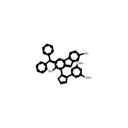 COc1cc(OC)cc(C2=C(c3c(C(C)(C)C)c(=C(c4ccccc4)c4ccccc4)cc4c3=[C]c3cc(C(C)(C)C)ccc3-4)CC=C2)c1